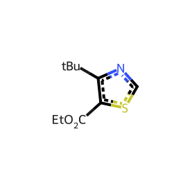 CCOC(=O)c1scnc1C(C)(C)C